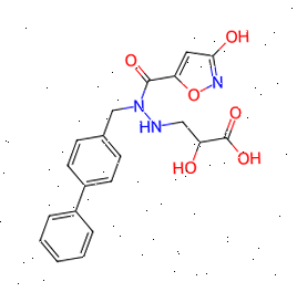 O=C(O)C(O)CNN(Cc1ccc(-c2ccccc2)cc1)C(=O)c1cc(O)no1